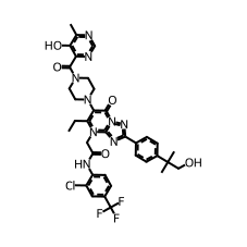 CCc1c(N2CCN(C(=O)c3ncnc(C)c3O)CC2)c(=O)n2nc(-c3ccc(C(C)(C)CO)cc3)nc2n1CC(=O)Nc1ccc(C(F)(F)F)cc1Cl